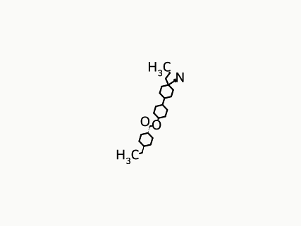 CCCC1(C#N)CCC(C2CCC(OC(=O)[C@H]3CC[C@H](CC)CC3)CC2)CC1